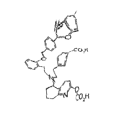 Cc1ccc2oc(-c3ccc(COc4ccccc4CCN(CCc4ccc(C(=O)O)cc4)C4CCCc5nc(OC(=O)O)ccc54)cc3)nc2c1